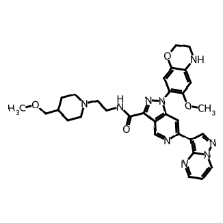 COCC1CCN(CCNC(=O)c2nn(-c3cc4c(cc3OC)NCCO4)c3cc(-c4cnn5cccnc45)ncc23)CC1